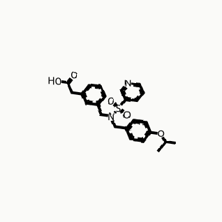 CC(C)Oc1ccc(CN(Cc2cccc(CC(=O)O)c2)S(=O)(=O)c2cccnc2)cc1